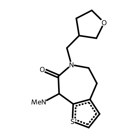 CNC1C(=O)N(CC2CCOC2)CCc2ccsc21